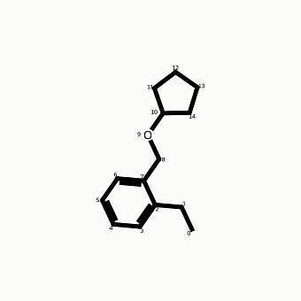 CCc1ccccc1COC1CCCC1